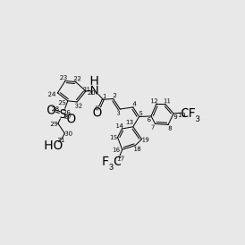 O=C(/C=C/C=C(c1ccc(C(F)(F)F)cc1)c1ccc(C(F)(F)F)cc1)Nc1cccc(S(=O)(=O)CCO)c1